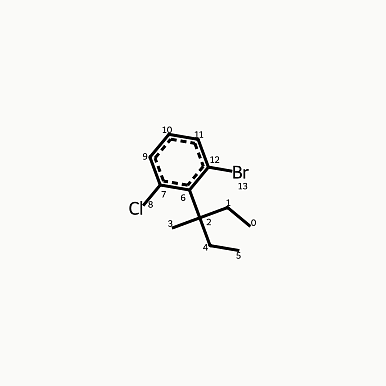 CCC(C)(CC)c1c(Cl)cccc1Br